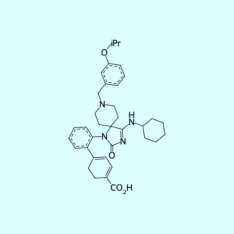 CC(C)Oc1cccc(CN2CCC3(CC2)C(NC2CCCCC2)=NC(=O)N3c2ccccc2C2=CC=C(C(=O)O)CC2)c1